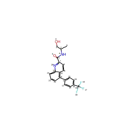 CC(CO)NC(=O)c1ccc2c(-c3ccc(C(F)(F)F)cc3)cccc2n1